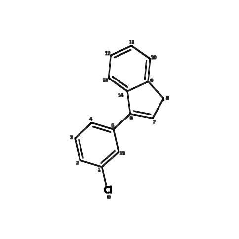 Clc1cccc(C2=C[CH]c3ccccc32)c1